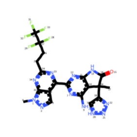 Cn1ncc2c(-c3nc(N)c4c(n3)NC(=O)C4(C)c3c[nH]nn3)nc(CCC(F)(F)C(F)(F)F)nc21